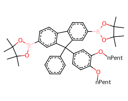 CCCCCOc1ccc(C2(c3ccccc3)c3cc(B4OC(C)(C)C(C)(C)O4)ccc3-c3ccc(B4OC(C)(C)C(C)(C)O4)cc32)cc1OCCCCC